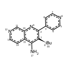 CC[C@H](C)c1c(-c2ccncc2)nc2cnccc2c1N